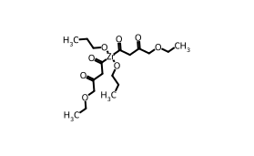 CCC[O][Zr]([O]CCC)([C](=O)CC(=O)COCC)[C](=O)CC(=O)COCC